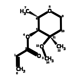 C=CC(=O)O[C@H]1[C@H](C)OCC[C@@]1(C)OC